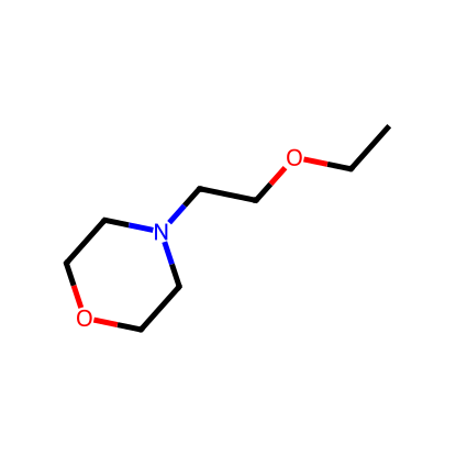 CCOCCN1CCOCC1